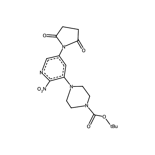 CC(C)(C)OC(=O)N1CCN(c2cc(N3C(=O)CCC3=O)cnc2[N+](=O)[O-])CC1